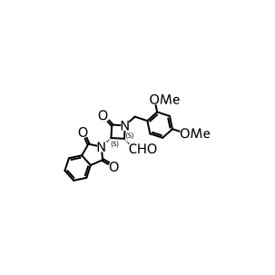 COc1ccc(CN2C(=O)[C@@H](N3C(=O)c4ccccc4C3=O)[C@H]2C=O)c(OC)c1